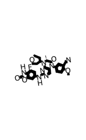 COc1ccc(N2C(=O)[C@@H](C)N(C3CCOCC3)c3nc(Nc4cc(F)c5[nH]c(=O)oc5c4)ncc32)cc1C#N